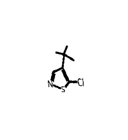 CC(C)(C)c1cnsc1Cl